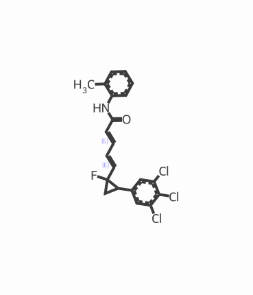 Cc1ccccc1NC(=O)/C=C/C=C/C1(F)CC1c1cc(Cl)c(Cl)c(Cl)c1